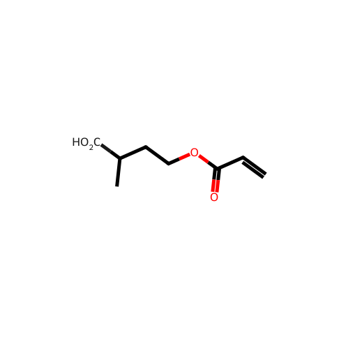 C=CC(=O)OCCC(C)C(=O)O